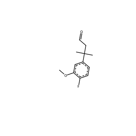 COc1cc(C(C)(C)CC=O)ccc1F